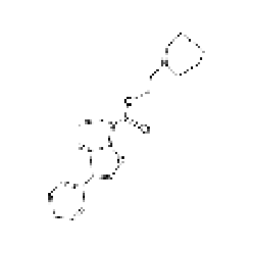 O=C(OCCN1CCCCC1)c1cccc2c(-c3ccccc3)coc12